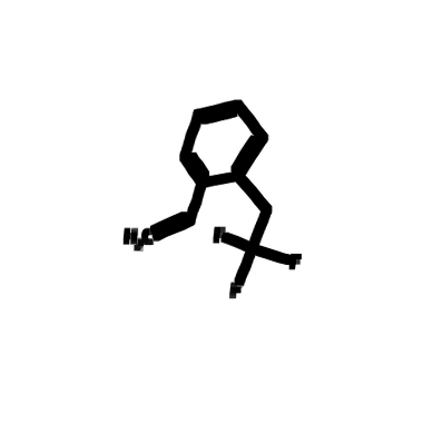 C=Cc1ccccc1CC(F)(F)F